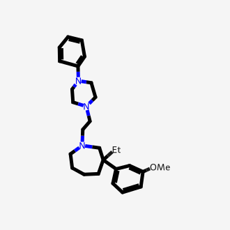 CCC1(c2cccc(OC)c2)CCCCN(CCN2CCN(c3ccccc3)CC2)C1